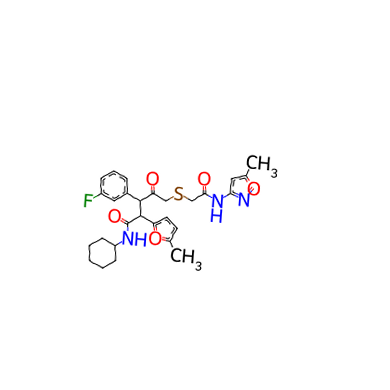 Cc1cc(NC(=O)CSCC(=O)C(c2cccc(F)c2)C(C(=O)NC2CCCCC2)c2ccc(C)o2)no1